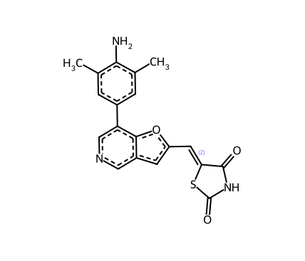 Cc1cc(-c2cncc3cc(/C=C4\SC(=O)NC4=O)oc23)cc(C)c1N